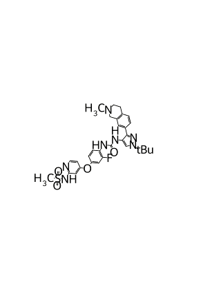 CN1CCc2ccc(-c3nn(C(C)(C)C)cc3NC(=O)Nc3ccc(Oc4ccnc(NS(C)(=O)=O)c4)cc3F)cc2C1